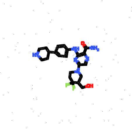 NC(=O)c1ncc(N2CCC(F)(F)C(CO)C2)nc1Nc1ccc(C2CCNCC2)cc1